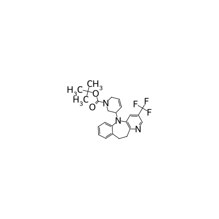 CC(C)(C)OC(=O)N1CC=CC(N2c3ccccc3CCc3ncc(C(F)(F)F)cc32)C1